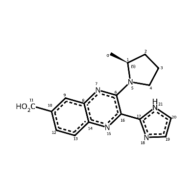 C[C@H]1CCCN1c1nc2cc(C(=O)O)ccc2nc1-c1ncc[nH]1